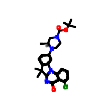 C[C@H]1CN(C(=O)OC(C)(C)C)CCN1c1ccc2c(c1)-n1c(nc(=O)c3c(Cl)cccc31)C2(C)C